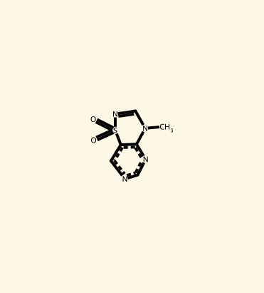 CN1C=NS(=O)(=O)c2cncnc21